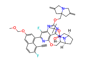 C#Cc1c(F)ccc2cc(OCOC)cc(-c3nc4c5c(nc(OCC67CC(=C)CN6CC(=C)C7)nc5c3F)N3C[C@H]5CC[C@@H]([C@H]3CO4)N5C(=O)OC(C)(C)C)c12